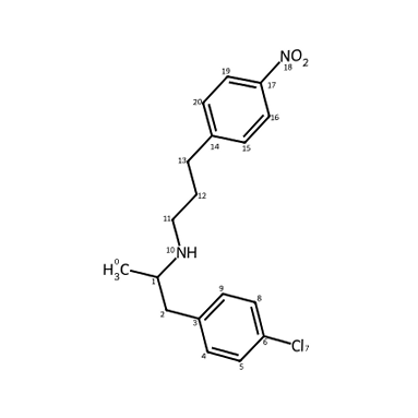 CC(Cc1ccc(Cl)cc1)NCCCc1ccc([N+](=O)[O-])cc1